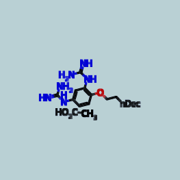 CC(=O)O.CCCCCCCCCCCCOc1ccc(NC(=N)N)cc1NC(=N)N